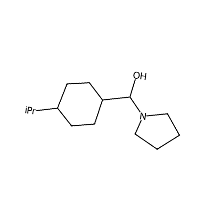 CC(C)C1CCC(C(O)N2CCCC2)CC1